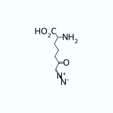 [N-]=[N+]=CC(=O)CCCC(N)C(=O)O